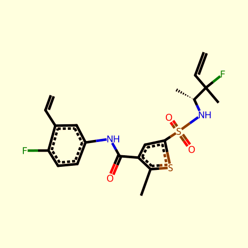 C=Cc1cc(NC(=O)c2cc(S(=O)(=O)N[C@H](C)C(C)(F)C=C)sc2C)ccc1F